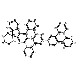 c1ccc(-c2nc(-c3ccc(-c4ccccc4)c(-c4ccccc4)c3)nc(-c3ccccc3-c3cccc4c3-c3ccccc3C43CCCCC3)n2)cc1